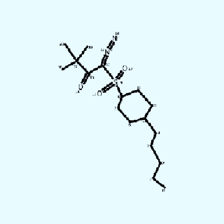 CCCCCC1CCC(S(=O)(=O)C(=[N+]=[N-])C(=O)C(C)(C)C)CC1